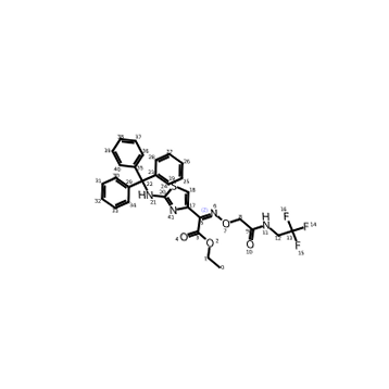 CCOC(=O)/C(=N\OCC(=O)NCC(F)(F)F)c1csc(NC(c2ccccc2)(c2ccccc2)c2ccccc2)n1